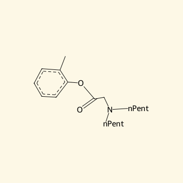 CCCCCN(CCCCC)CC(=O)Oc1ccccc1C